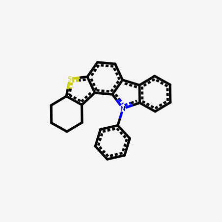 c1ccc(-n2c3ccccc3c3ccc4sc5c(c4c32)CCCC5)cc1